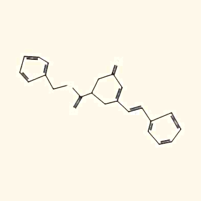 O=C1C=C(/C=C/c2ccccc2)CC(C(=O)OCc2ccccc2)C1